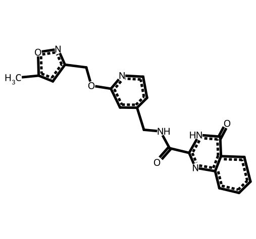 Cc1cc(COc2cc(CNC(=O)c3nc4ccccc4c(=O)[nH]3)ccn2)no1